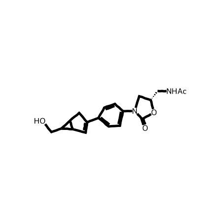 CC(=O)NC[C@H]1CN(c2ccc(C3=CC4C(CO)C4C3)cc2)C(=O)O1